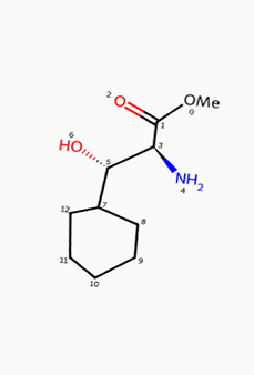 COC(=O)[C@@H](N)[C@@H](O)C1CCCCC1